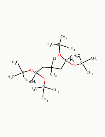 CCC(C)(C[Si](C)(O[Si](C)(C)C)O[Si](C)(C)C)C[Si](C)(O[Si](C)(C)C)O[Si](C)(C)C